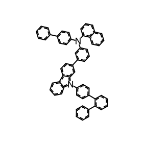 c1ccc(-c2ccc(N(c3cccc(-c4ccc5c6ccccc6n(-c6ccc(-c7ccccc7-c7ccccc7)cc6)c5c4)c3)c3cccc4ccccc34)cc2)cc1